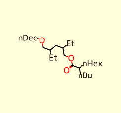 CCCCCCCCCCOCC(CC)CC(CC)COC(=O)C(CCCC)CCCCCC